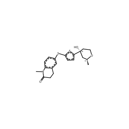 C[C@H]1C[C@@](O)(c2ccc(Sc3ccc4c(c3)CCC(=O)N4C)s2)CCO1